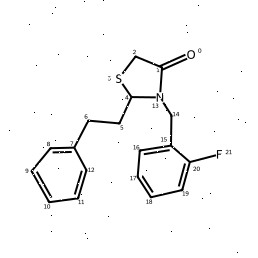 O=C1CSC(CCc2ccccc2)N1Cc1ccccc1F